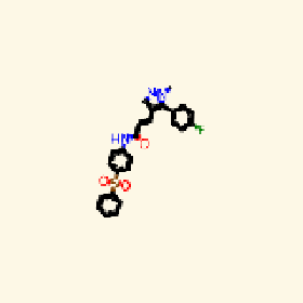 Cn1ncc(C=CC(=O)Nc2ccc(S(=O)(=O)c3ccccc3)cc2)c1-c1ccc(F)cc1